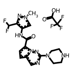 Cn1cc(NC(=O)c2ccc3cnc(N4CCNCC4)nn23)c(C(F)F)n1.O=C(O)C(F)(F)F